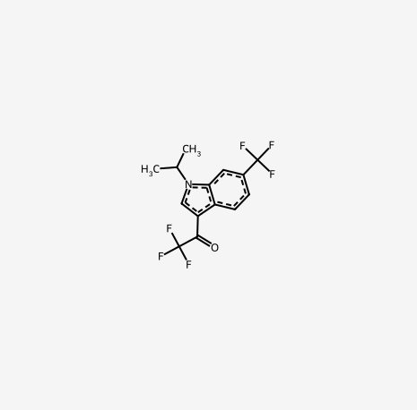 CC(C)n1cc(C(=O)C(F)(F)F)c2ccc(C(F)(F)F)cc21